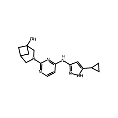 OC12CC(CN(c3nccc(Nc4cc(C5CC5)[nH]n4)n3)C1)C2